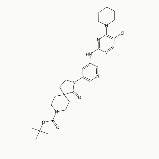 CC(C)(C)OC(=O)N1CCC2(CC1)CCN(c1cncc(Nc3ncc(Cl)c(N4CCCCC4)n3)c1)C2=O